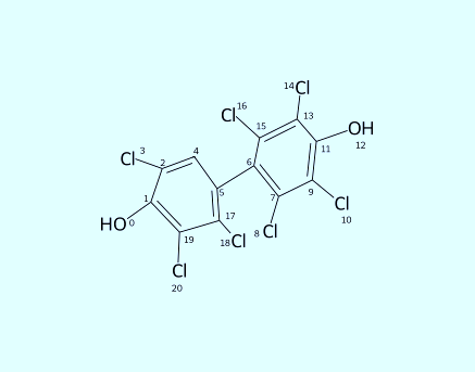 Oc1c(Cl)cc(-c2c(Cl)c(Cl)c(O)c(Cl)c2Cl)c(Cl)c1Cl